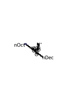 CCCCCCCC/C=C\CCCCCCCC(=O)O[C@H](COC(=O)CCCCCCCCCCCCCCCC)COP(=O)(O)OCC[N+](C)(C)C